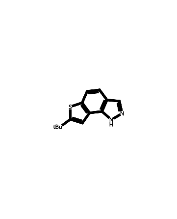 CC(C)(C)c1cc2c(ccc3cn[nH]c32)s1